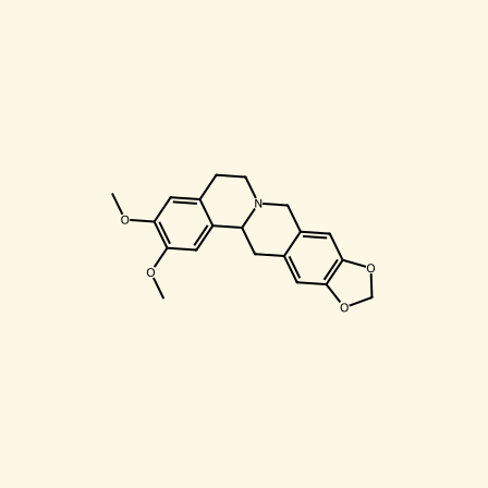 COc1cc2c(cc1OC)C1Cc3cc4c(cc3CN1CC2)OCO4